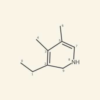 CCC1=C(C)C(C)=CNC1